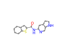 O=C(Nc1cc2cc[nH]c2cn1)c1cc2ccccc2s1